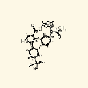 CCOC(=O)c1c[nH]c(-c2ccc(C(F)(F)F)cc2)c1-c1cccc(N(C(C)=O)C(C)=O)c1